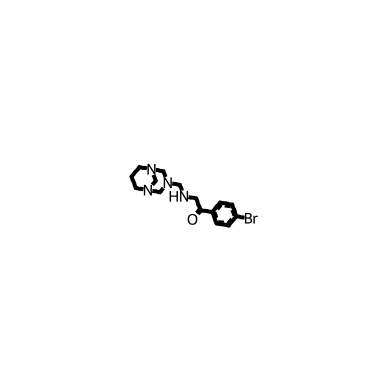 O=C(CNCN1CN2CCCN(C2)C1)c1ccc(Br)cc1